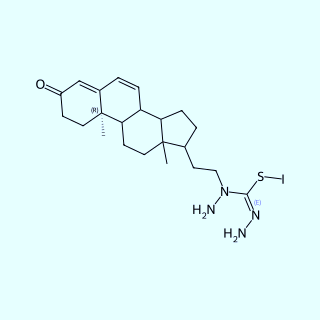 CC12CCC3C(C=CC4=CC(=O)CC[C@@]43C)C1CCC2CCN(N)/C(=N\N)SI